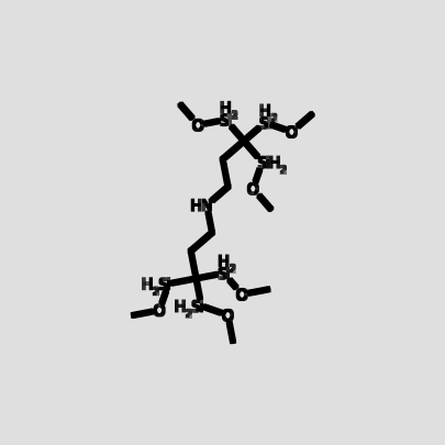 CO[SiH2]C(CCNCCC([SiH2]OC)([SiH2]OC)[SiH2]OC)([SiH2]OC)[SiH2]OC